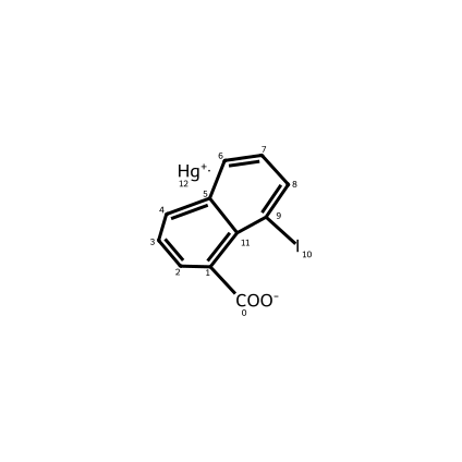 O=C([O-])c1cccc2cccc(I)c12.[Hg+]